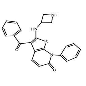 O=C(c1ccccc1)c1c(NC2CNC2)sc2c1ccc(=O)n2-c1ccccc1